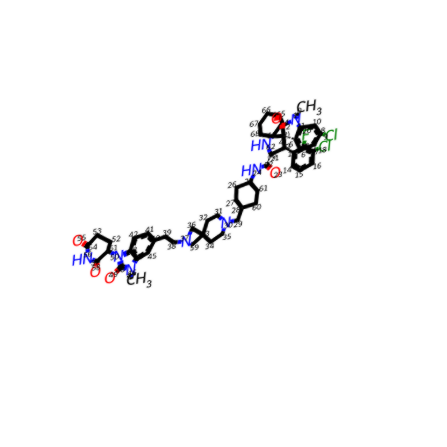 CN1C(=O)[C@@]2(c3ccc(Cl)cc31)[C@@H](c1cccc(Cl)c1F)[C@H](C(=O)NC1CCC(CN3CCC4(CC3)CN(CCc3ccc5c(c3)n(C)c(=O)n5C3CCC(=O)NC3=O)C4)CC1)NC21CCCCC1